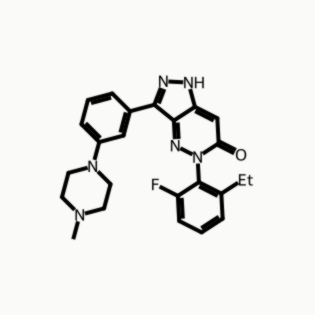 CCc1cccc(F)c1-n1nc2c(-c3cccc(N4CCN(C)CC4)c3)n[nH]c2cc1=O